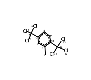 Cc1cc(C(Cl)(Cl)Cl)ccc1C(Cl)(Cl)Cl